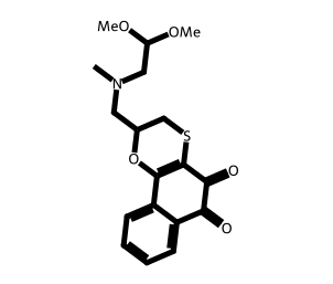 COC(CN(C)CC1CSC2=C(O1)c1ccccc1C(=O)C2=O)OC